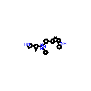 CC1(C)c2cc(-c3cccc(-c4nc(C5=CC=C(C6=CNCC=C6)C6CC56)nc(-c5ccccc5)n4)c3)ccc2-c2c1ccc1c2C2C=CC=CC2N1